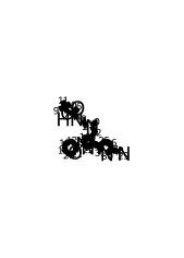 CN(CCNC(=O)OC(C)(C)C)Cc1cn(C2CCCCO2)nc1-c1ccc(C#N)nc1